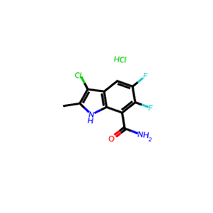 Cc1[nH]c2c(C(N)=O)c(F)c(F)cc2c1Cl.Cl